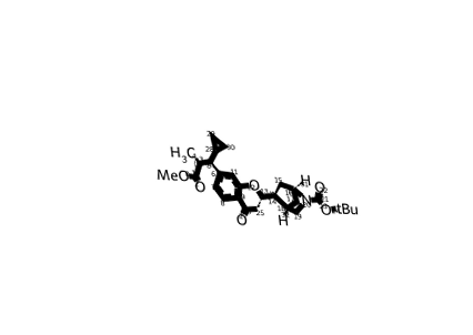 COC(=O)[C@@H](C)[C@H](c1ccc2c(c1)O[C@H]([C@H]1C[C@@H]3C[C@@H]1CN3C(=O)OC(C)(C)C)CC2=O)C1CC1